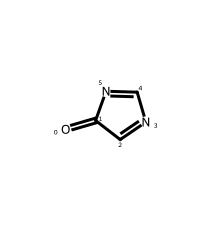 O=C1C=NC=N1